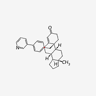 C[C@@]12CCC[C@H]1[C@@H]1CCC3=CC(=O)CC[C@]3(Cc3ccc(-c4cccnc4)cc3)[C@@H]1CC2